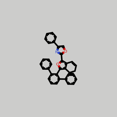 c1cccc(-c2cccc(-c3ccccc3)c2-c2oc(-c3nc(-c4ccccc4)co3)c3c2CCC=C3)c#1